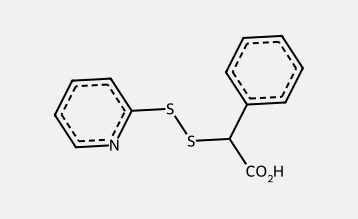 O=C(O)C(SSc1ccccn1)c1ccccc1